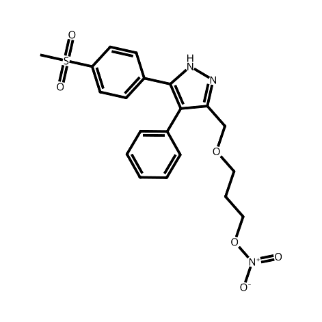 CS(=O)(=O)c1ccc(-c2[nH]nc(COCCCO[N+](=O)[O-])c2-c2ccccc2)cc1